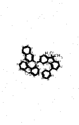 CC1(C)c2ccc(N(c3ccc4ccccc4c3)c3cccc4oc5ccccc5c34)cc2-c2c(-c3ccccc3)cccc21